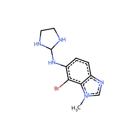 Cn1cnc2ccc(NC3NCCN3)c(Br)c21